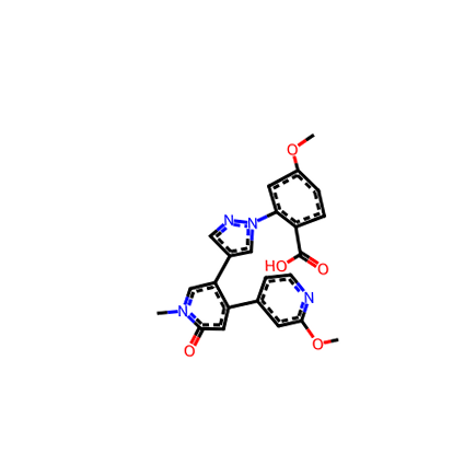 COc1ccc(C(=O)O)c(-n2cc(-c3cn(C)c(=O)cc3-c3ccnc(OC)c3)cn2)c1